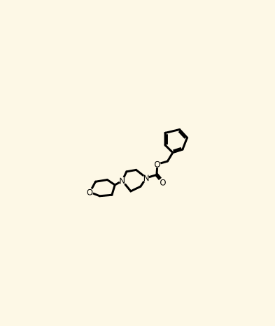 O=C(OCc1ccccc1)N1CCN(C2CCOCC2)CC1